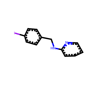 Ic1ccc(CNc2ccccn2)cc1